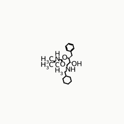 CC(C)(C)NC(=O)O[C@@H](Cc1ccccc1)[C@H](O)CNCC1CCCCC1